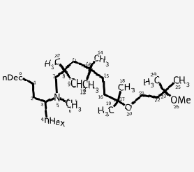 CCCCCCCCCCCCC(CCCCCC)N(C)CC(C)(C)CC(C)(C)CCC(C)(C)OCCC(C)(C)OC